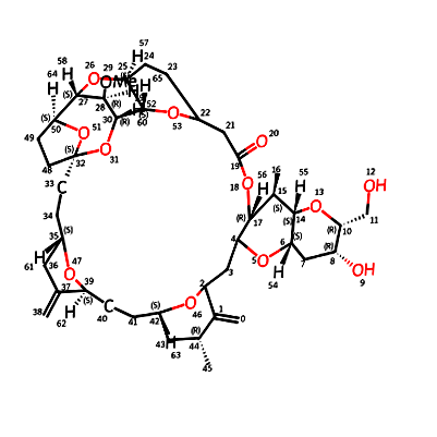 C=C1C2CC3O[C@H]4C[C@@H](O)[C@@H](CO)O[C@H]4[C@H](C)[C@H]3OC(=O)CC3CC[C@@H]4O[C@@H]5[C@@H](OC)[C@@H](O[C@@]6(CC[C@H]7CC(=C)[C@H](CC[C@@H](C[C@H]1C)O2)O7)CC[C@@H]5O6)[C@H]4O3